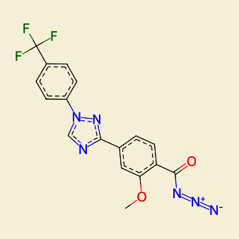 COc1cc(-c2ncn(-c3ccc(C(F)(F)F)cc3)n2)ccc1C(=O)N=[N+]=[N-]